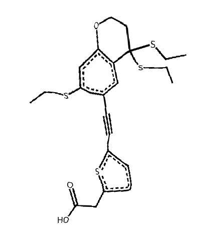 CCSc1cc2c(cc1C#Cc1ccc(CC(=O)O)s1)C(SCC)(SCC)CCO2